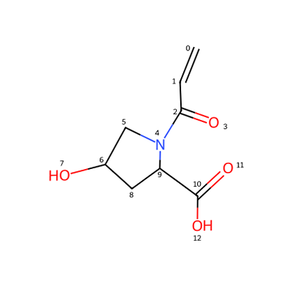 C=CC(=O)N1CC(O)CC1C(=O)O